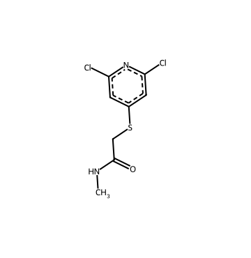 CNC(=O)CSc1cc(Cl)nc(Cl)c1